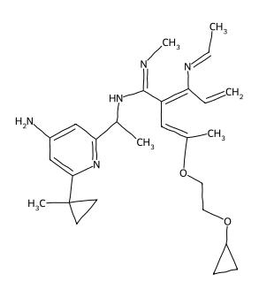 C=CC(/N=C/C)=C(\C=C(/C)OCCOC1CC1)C(=N\C)/NC(C)c1cc(N)cc(C2(C)CC2)n1